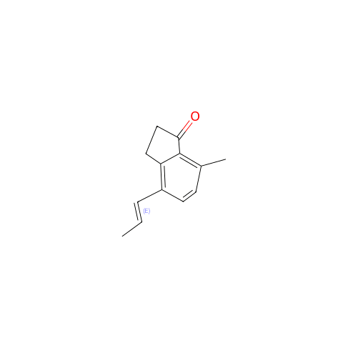 C/C=C/c1ccc(C)c2c1CCC2=O